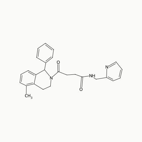 Cc1cccc2c1CCN(C(=O)CCC(=O)NCc1ccccn1)C2c1ccccc1